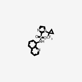 O=S(=O)(Nc1cccc2cccnc12)c1nccn1C1(C(F)(F)F)CC1